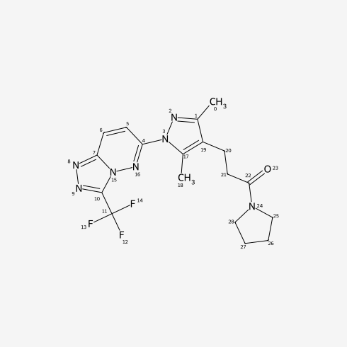 Cc1nn(-c2ccc3nnc(C(F)(F)F)n3n2)c(C)c1CCC(=O)N1CCCC1